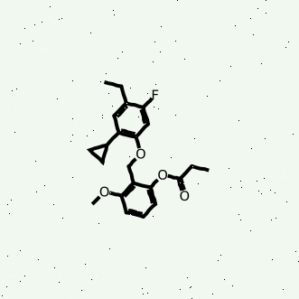 CCC(=O)Oc1cccc(OC)c1COc1cc(F)c(CC)cc1C1CC1